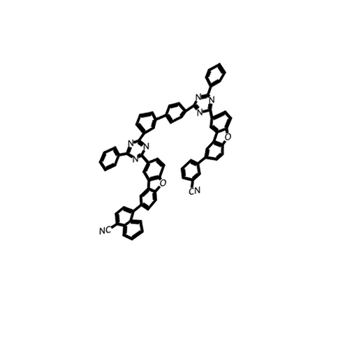 N#Cc1cccc(-c2ccc3oc4ccc(-c5nc(-c6ccccc6)nc(-c6ccc(-c7cccc(-c8nc(-c9ccccc9)nc(-c9ccc%10oc%11ccc(-c%12ccc(C#N)c%13ccccc%12%13)cc%11c%10c9)n8)c7)cc6)n5)cc4c3c2)c1